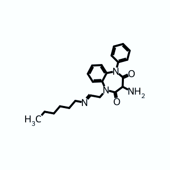 CCCCCCN=CCN1C(=O)C(N)C(=O)N(c2ccccc2)c2ccccc21